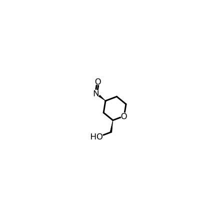 O=N[C@H]1CCO[C@@H](CO)C1